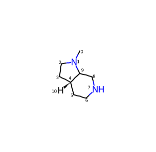 CN1CC[C@H]2CCNCC21